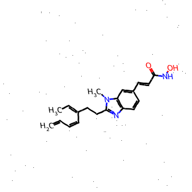 C=C/C=C\C(=C/C)CCc1nc2ccc(/C=C/C(=O)NO)cc2n1C